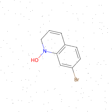 ON1CC=Cc2ccc(Br)cc21